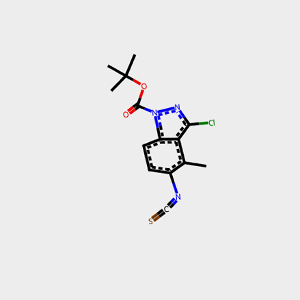 Cc1c(N=C=S)ccc2c1c(Cl)nn2C(=O)OC(C)(C)C